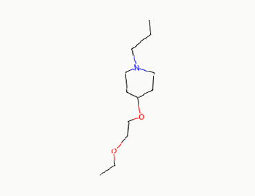 CCCN1CCC(OCCOCC)CC1